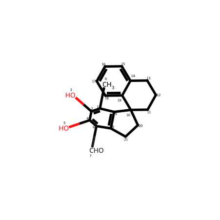 Cc1c(O)c(O)c(C=O)c2c1C1(CCCc3ccccc31)CC2